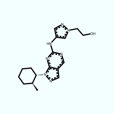 C[C@H]1CCCC[C@@H]1n1ncc2cnc(Nc3cnn(CCO)c3)nc21